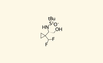 CC(C)(C)[S@+]([O-])N[C@H](CO)C1(C(F)F)CC1